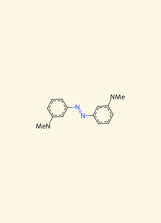 CNc1cccc(N=Nc2cccc(NC)c2)c1